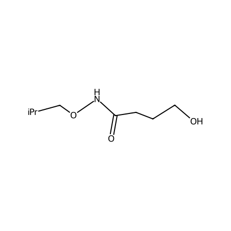 CC(C)CONC(=O)CCCO